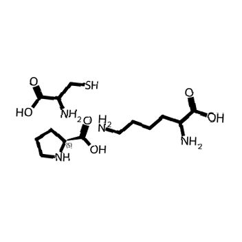 NC(CS)C(=O)O.NCCCCC(N)C(=O)O.O=C(O)[C@@H]1CCCN1